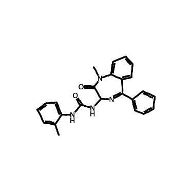 Cc1ccccc1NC(=O)NC1N=C(c2ccccc2)c2ccccc2N(C)C1=O